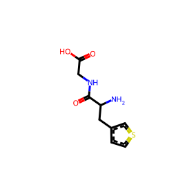 NC(Cc1ccsc1)C(=O)NCC(=O)O